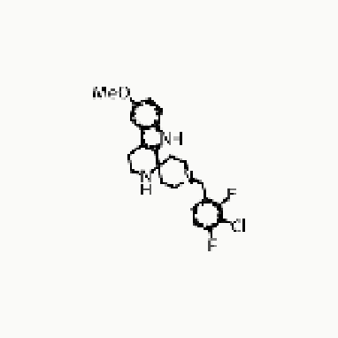 COc1ccc2[nH]c3c(c2c1)CCNC31CCN(Cc2ccc(F)c(Cl)c2F)CC1